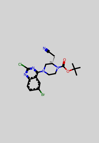 CC(C)(C)OC(=O)N1CCN(c2nc(Cl)nc3ccc(Br)cc23)C[C@@H]1CC#N